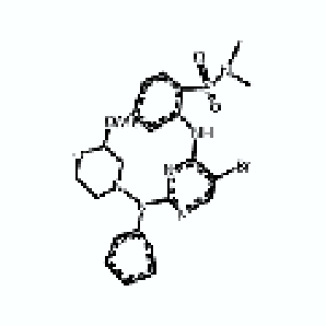 COC1CN(N(c2ccccc2)c2ncc(Br)c(Nc3ccccc3S(=O)(=O)N(C)C)n2)CCO1